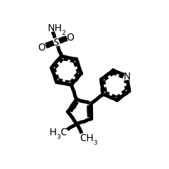 CC1(C)C=C(c2ccncc2)C(c2ccc(S(N)(=O)=O)cc2)=C1